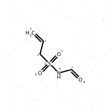 C=CCS(=O)(=O)NC=O